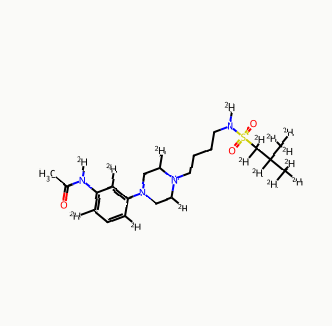 [2H]c1cc([2H])c(N([2H])C(C)=O)c([2H])c1N1CC([2H])N(CCCCN([2H])S(=O)(=O)C([2H])([2H])C([2H])(C([2H])([2H])[2H])C([2H])([2H])[2H])C([2H])C1